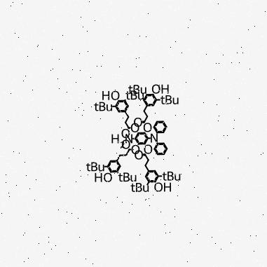 CC(C)(C)c1cc(CCC(=O)Oc2c(N)c(OC(=O)CCc3cc(C(C)(C)C)c(O)c(C(C)(C)C)c3)c(OC(=O)CCc3cc(C(C)(C)C)c(O)c(C(C)(C)C)c3)c(N(c3ccccc3)c3ccccc3)c2OC(=O)CCc2cc(C(C)(C)C)c(O)c(C(C)(C)C)c2)cc(C(C)(C)C)c1O